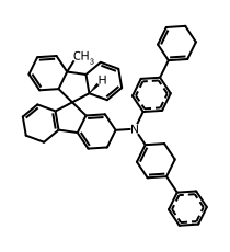 CC12C=CC=CC1C1(C3=CC(N(C4=CC=C(c5ccccc5)CC4)c4ccc(C5=CCCC=C5)cc4)CC=C3C3=C1C=CCC3)[C@H]1C=CC=CC12